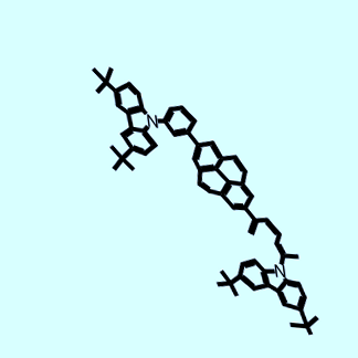 C=C(/C=C\C=C(/C)n1c2ccc(C(C)(C)C)cc2c2cc(C(C)(C)C)ccc21)c1cc2ccc3cc(-c4cccc(-n5c6ccc(C(C)(C)C)cc6c6cc(C(C)(C)C)ccc65)c4)cc4ccc(c1)c2c34